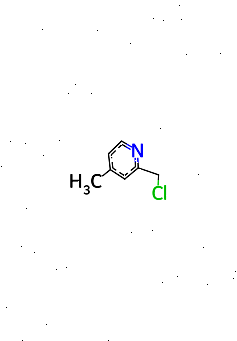 Cc1ccnc(CCl)c1